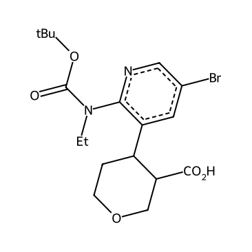 CCN(C(=O)OC(C)(C)C)c1ncc(Br)cc1C1CCOCC1C(=O)O